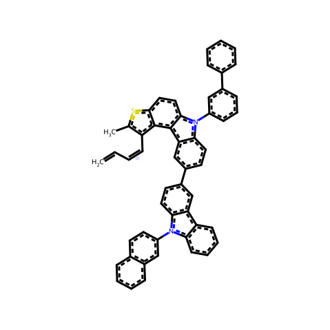 C=C/C=C\c1c(C)sc2ccc3c(c4cc(-c5ccc6c(c5)c5ccccc5n6-c5ccc6ccccc6c5)ccc4n3-c3cccc(-c4ccccc4)c3)c12